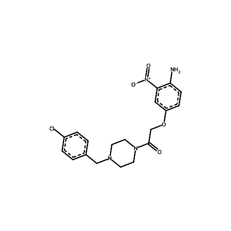 Nc1ccc(OCC(=O)N2CCN(Cc3ccc(Cl)cc3)CC2)cc1[N+](=O)[O-]